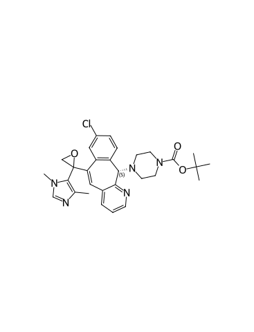 Cc1ncn(C)c1C1(C2=Cc3cccnc3[C@@H](N3CCN(C(=O)OC(C)(C)C)CC3)c3ccc(Cl)cc32)CO1